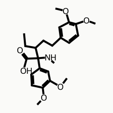 CCC(CCc1ccc(OC)c(OC)c1)C(NC)(C(=O)O)c1ccc(OC)c(OC)c1